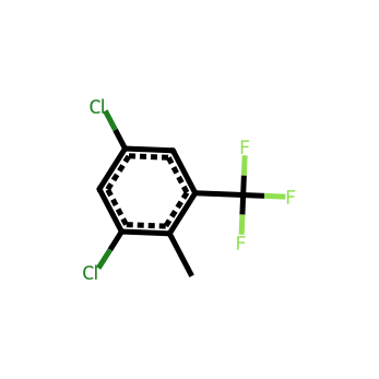 Cc1c(Cl)cc(Cl)cc1C(F)(F)F